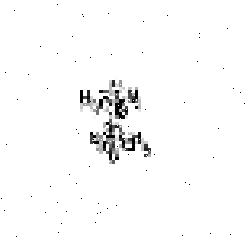 CC1(C)CC(N2CCCC2)=C(C#N)/C(=C(\C#N)S(=O)(=O)C2CCC(S(=O)(=O)/C(C#N)=C3\CC(C)(C)CC(N4CCCC4)=C3C#N)CC2)C1